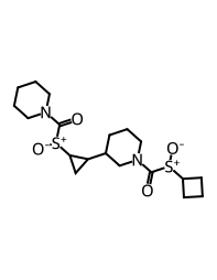 O=C(N1CCCC(C2CC2[S+]([O-])C(=O)N2CCCCC2)C1)[S+]([O-])C1CCC1